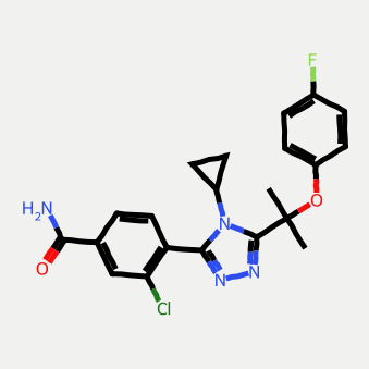 CC(C)(Oc1ccc(F)cc1)c1nnc(-c2ccc(C(N)=O)cc2Cl)n1C1CC1